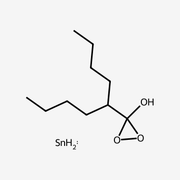 CCCCC(CCCC)C1(O)OO1.[SnH2]